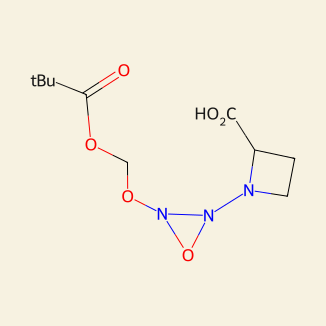 CC(C)(C)C(=O)OCOn1on1N1CCC1C(=O)O